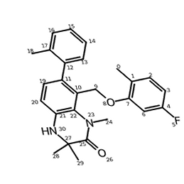 Cc1ccc(F)cc1OCc1c(-c2ccccc2C)ccc2c1N(C)C(=O)C(C)(C)N2